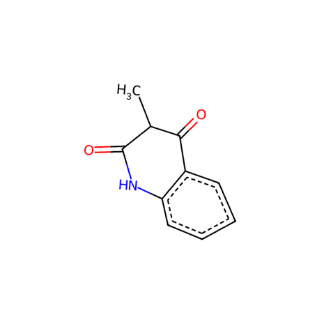 CC1C(=O)Nc2ccccc2C1=O